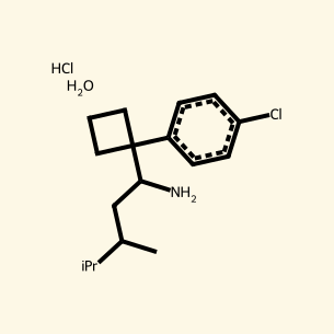 CC(C)C(C)CC(N)C1(c2ccc(Cl)cc2)CCC1.Cl.O